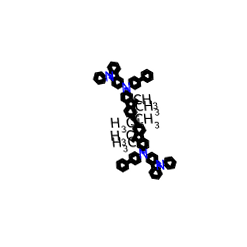 CC1(C)c2cc(N(c3ccc(-c4ccccc4)cc3)c3ccc4c(c3)c3ccccc3n4-c3ccccc3)ccc2-c2ccc([Si](C)(C)c3ccc4c(c3)C(C)(C)c3cc(N(c5ccc(-c6ccccc6)cc5)c5ccc6c(c5)c5ccccc5n6-c5ccccc5)ccc3-4)cc21